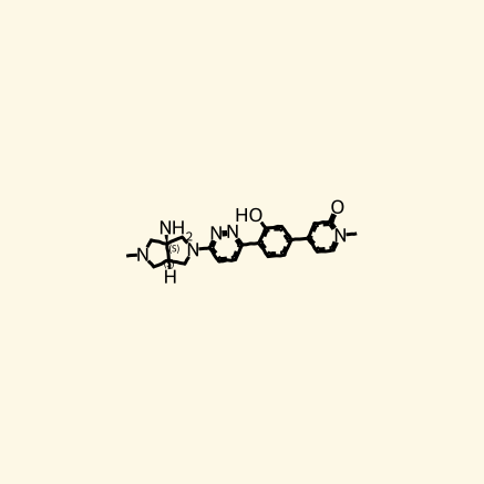 CN1C[C@H]2CN(c3ccc(-c4ccc(-c5ccn(C)c(=O)c5)cc4O)nn3)C[C@@]2(N)C1